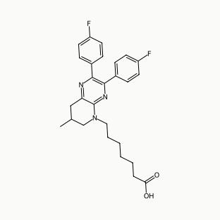 CC1Cc2nc(-c3ccc(F)cc3)c(-c3ccc(F)cc3)nc2N(CCCCCCC(=O)O)C1